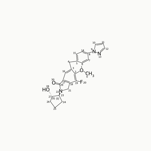 COc1c(Cc2ccc(-n3cccn3)cc2)cc2c(c1F)CN([C@H]1CCC[C@@H]1O)C2=O